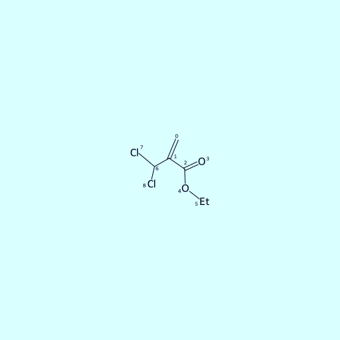 C=C(C(=O)OCC)C(Cl)Cl